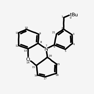 CC(C)(C)Cc1cccc(N2c3ccccc3OC3C=CC=CC32)c1